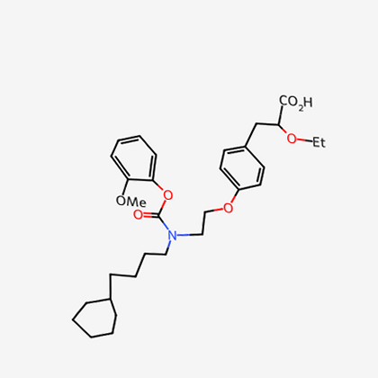 CCOC(Cc1ccc(OCCN(CCCCC2CCCCC2)C(=O)Oc2ccccc2OC)cc1)C(=O)O